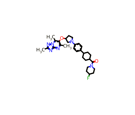 Cc1nc2nc(C)c(OC3CCN(c4ccc(C5CCC(C(=O)N6CCC(F)CC6)CC5)cc4)C3)c(C)n2n1